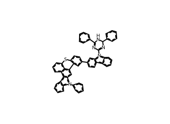 c1ccc(C2=NC(n3c4ccccc4c4ccc(-c5ccc6c(c5)-c5cc7c(c8cccc(c58)S6)c5ccccc5n7-c5ccccc5)cc43)=NC(c3ccccc3)N2)cc1